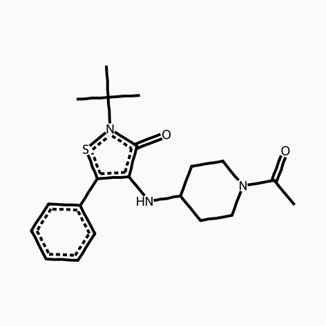 CC(=O)N1CCC(Nc2c(-c3ccccc3)sn(C(C)(C)C)c2=O)CC1